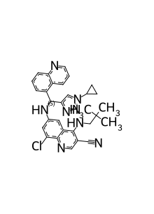 CC(C)(C)CNc1c(C#N)cnc2c(Cl)cc(N[C@H](c3cn(C4CC4)nn3)c3cccc4ncccc34)cc12